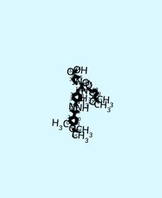 Cc1cc(C2=CNC(c3ccc(C[C@H](NC(=O)c4ccc(C(C)(C)C)s4)C(=O)N4CC[C@H](C(=O)O)C4)cc3)N=C2)ccc1OC(C)C